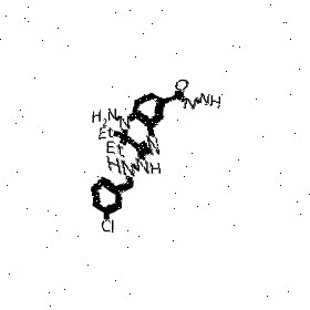 CCC1(CC)C(NNCc2cccc(Cl)c2)=Nc2cc(C(=O)N=N)ccc2N1N